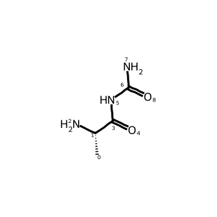 C[C@H](N)C(=O)NC(N)=O